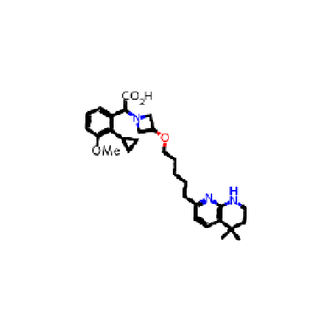 COc1cccc(C(C(=O)O)N2CC(OCCCCCc3ccc4c(n3)NCCC4(C)C)C2)c1C1CC1